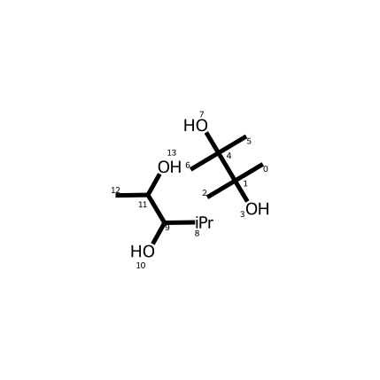 CC(C)(O)C(C)(C)O.CC(C)C(O)C(C)O